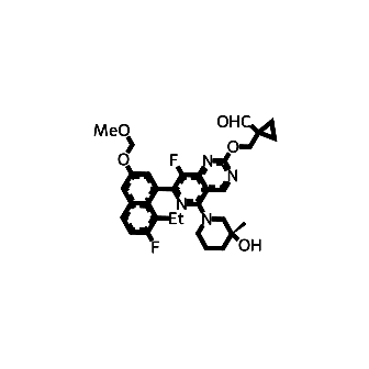 CCc1c(F)ccc2cc(OCOC)cc(-c3nc(N4CCC[C@@](C)(O)C4)c4cnc(OCC5(C=O)CC5)nc4c3F)c12